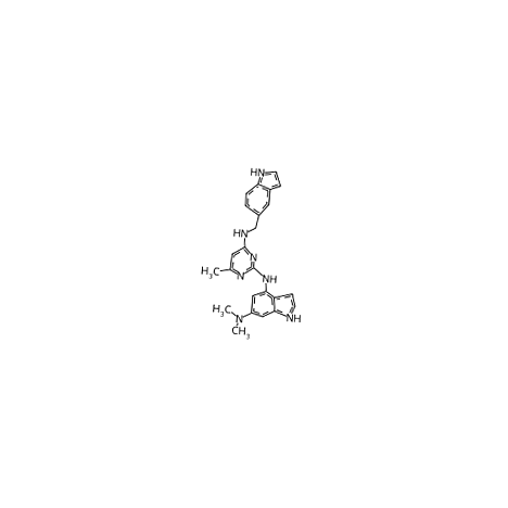 Cc1cc(NCc2ccc3[nH]ccc3c2)nc(Nc2cc(N(C)C)cc3[nH]ccc23)n1